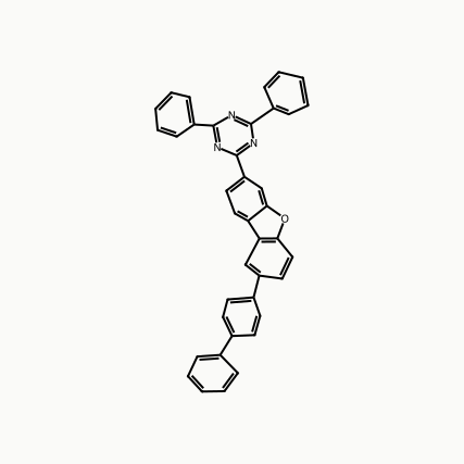 c1ccc(-c2ccc(-c3ccc4oc5cc(-c6nc(-c7ccccc7)nc(-c7ccccc7)n6)ccc5c4c3)cc2)cc1